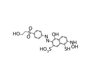 O=S(=O)(O)c1cc2c(S)c(NO)ccc2c(O)c1/N=N/c1ccc(S(=O)(=O)CCO)cc1